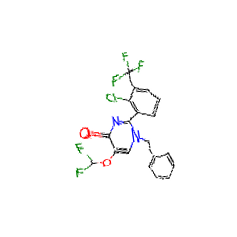 O=c1nc(-c2cccc(C(F)(F)F)c2Cl)n(Cc2ccccc2)cc1OC(F)F